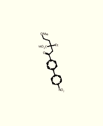 CCC(CCOC)(CC(=O)c1ccc(-c2ccc([N+](=O)[O-])cc2)cc1)C(=O)O